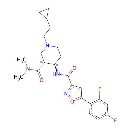 CN(C)C(=O)[C@@H]1CN(CCC2CC2)CC[C@H]1NC(=O)c1cc(-c2ccc(F)cc2F)on1